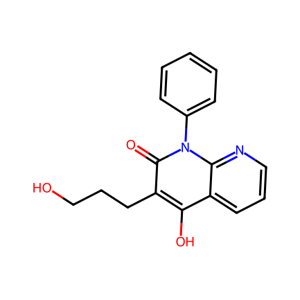 O=c1c(CCCO)c(O)c2cccnc2n1-c1ccccc1